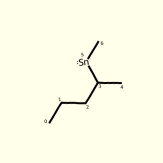 CCC[CH](C)[Sn][CH3]